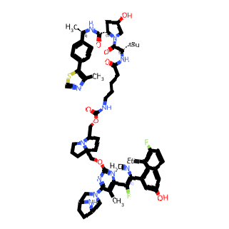 C=N/C(=C(/F)c1nc(OCC23CCCN2C(COC(=O)NCCCCC(=O)N[C@H](C(=O)N2CC(O)C[C@H]2C(=O)N[C@@H](C)c2ccc(-c4scnc4C)cc2)C(C)(C)C)CC3)nc(N2CC3CCC(C2)N3)c1C)c1cc(O)cc2ccc(F)c(CC)c12